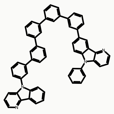 c1ccc(-n2c3ccc(-c4cccc(-c5cccc(-c6cccc(-c7cccc(-c8cccc(-n9c%10ccccc%10c%10ncccc%109)c8)c7)c6)c5)c4)cc3c3ncccc32)cc1